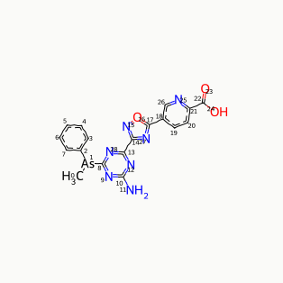 C[As](c1ccccc1)c1nc(N)nc(-c2noc(-c3ccc(C(=O)O)nc3)n2)n1